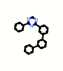 c1ccc(-c2cccc(-c3cccc(-c4ncnc(-c5ccccc5)n4)c3)c2)cc1